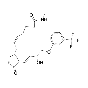 CNC(=O)CCC/C=C\C[C@H]1C=CC(=O)[C@@H]1/C=C/[C@@H](O)COc1cccc(C(F)(F)F)c1